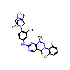 Cc1cc(Nc2ncc3c(n2)N(C)CN(c2c(Cl)cccc2Cl)C3=O)ccc1N1C[C@@H]2C[C@H]1CN2C